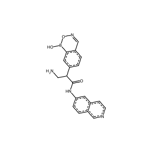 NCC(C(=O)Nc1ccc2cnccc2c1)c1ccc2c(c1)B(O)ON=C2